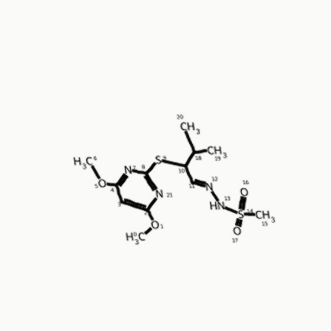 COc1cc(OC)nc(SC(/C=N/NS(C)(=O)=O)C(C)C)n1